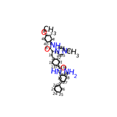 COc1ccc(NC(=O)C(Cc2ccc(C(=O)Nc3cc(-c4ccccc4)ccc3N)cc2)N2CCN(C)CC2)cc1